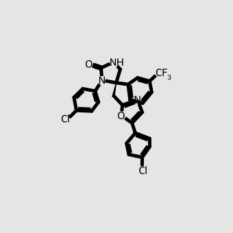 O=C1NC[C@](Cc2ncc(-c3ccc(Cl)cc3)o2)(c2cccc(C(F)(F)F)c2)N1c1ccc(Cl)cc1